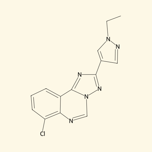 CCn1cc(-c2nc3c4cccc(Cl)c4ncn3n2)cn1